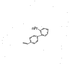 C=Cc1ccc(-c2ccccc2CCC)cc1